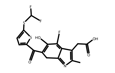 CC1=C(CC(=O)O)C2=C(F)C(O)=C(C(=O)c3ccc(SC(F)F)s3)CC2=N1